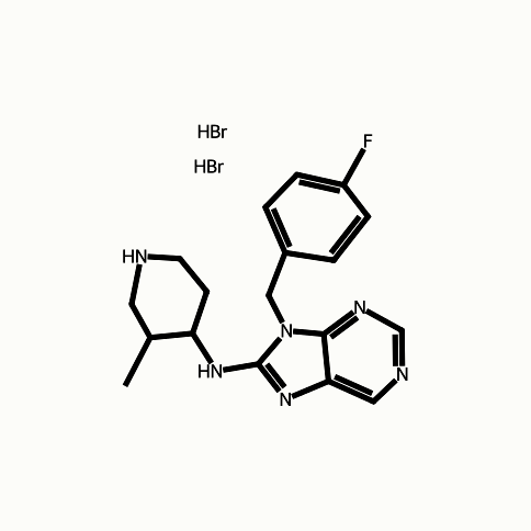 Br.Br.CC1CNCCC1Nc1nc2cncnc2n1Cc1ccc(F)cc1